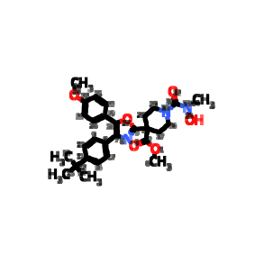 COC(=O)C1(c2nc(-c3ccc(C(C)(C)C)cc3)c(-c3ccc(OC)cc3)o2)CCN(C(=O)N(C)O)CC1